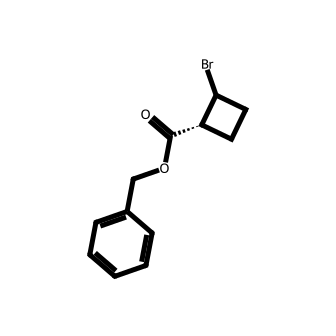 O=C(OCc1ccccc1)[C@H]1CCC1Br